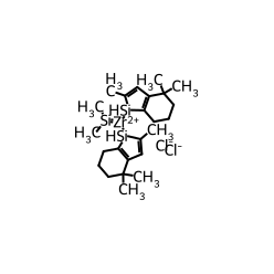 CC1=CC2=C(CCCC2(C)C)[SiH]1[Zr+2](=[Si](C)C)[SiH]1C(C)=CC2=C1CCCC2(C)C.[Cl-].[Cl-]